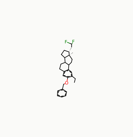 CCc1cc2c(cc1OCc1ccccc1)CCC1C2CC[C@@]2(C)C1CC[C@@H]2CC(F)F